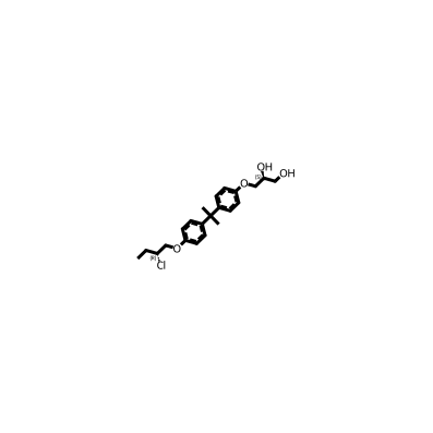 CC[C@@H](Cl)COc1ccc(C(C)(C)c2ccc(OC[C@@H](O)CO)cc2)cc1